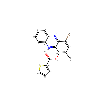 Cc1cc(Br)c2nc3ccccc3nc2c1OC(=O)c1cccs1